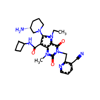 CCn1c(N2CCC[C@@H](N)C2)c(C(=O)NC2CCC2)c2c1c(=O)n(Cc1ncccc1C#N)c(=O)n2C